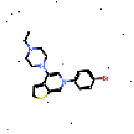 CCN1CCN(C2=CN(c3ccc(Br)cc3)C=C3SCC=C32)CC1